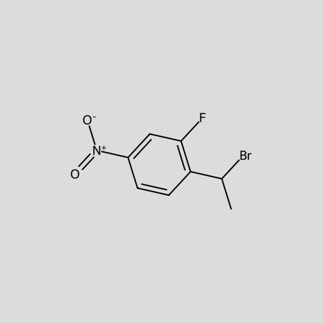 CC(Br)c1ccc([N+](=O)[O-])cc1F